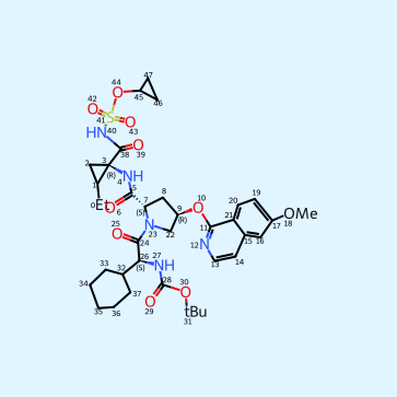 CCC1C[C@]1(NC(=O)[C@@H]1C[C@@H](Oc2nccc3cc(OC)ccc23)CN1C(=O)[C@@H](NC(=O)OC(C)(C)C)C1CCCCC1)C(=O)NS(=O)(=O)OC1CC1